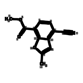 COC(=O)c1ccc(C#N)c2cc(C)oc12